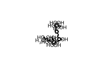 COC(CO)C(O)C(O)C(O)OC1C(CO)OC(Oc2cc(O)cc(/C=C/c3ccc(OC4OC(CO)C(O)C(O)C4O)cc3)c2)C(O)C1O